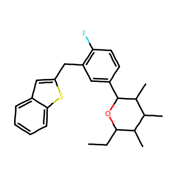 CCC1OC(c2ccc(F)c(Cc3cc4ccccc4s3)c2)C(C)C(C)C1C